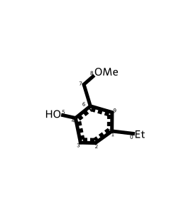 CCc1ccc(O)c(COC)c1